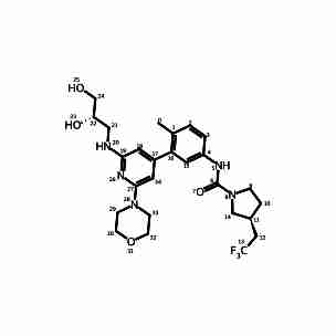 Cc1ccc(NC(=O)N2CC[C@@H](CC(F)(F)F)C2)cc1-c1cc(NC[C@H](O)CO)nc(N2CCOCC2)c1